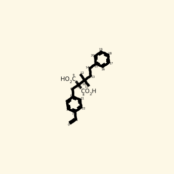 C=Cc1ccc(CC(C(=O)O)(C(=O)O)C(C)(C)CCc2ccccc2)cc1